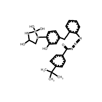 CC(C)(C)c1ccc(C(=O)N=[N+]=Nc2ccccc2Cc2ccc(N3CC(O)NS3(O)O)c(O)c2)cc1